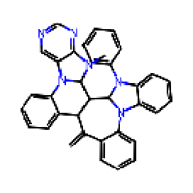 C=C1c2ccccc2N2c3ccccc3N(c3ccccc3)C2C2C1c1ccccc1N1c3cncnc3N(C)C21